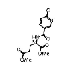 COC(=O)CC[C@@H](NC(=O)c1ccc(Cl)nc1)C(=O)OC